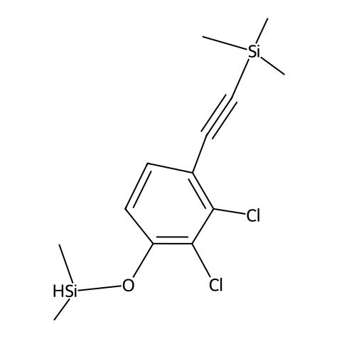 C[SiH](C)Oc1ccc(C#C[Si](C)(C)C)c(Cl)c1Cl